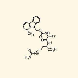 CC1CC=CC2=C1C(COC(=O)N[C@H](C(=O)N[C@@H](CCCNC(N)=O)C(=O)O)C(C)C)c1ccccc12